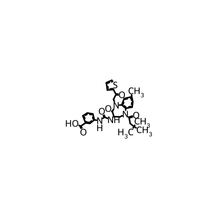 Cc1ccc2c(c1)N(CC(=O)c1cccs1)C(=O)C(NC(=O)Nc1cccc(C(=O)O)c1)CN2C(=O)CC(C)(C)C